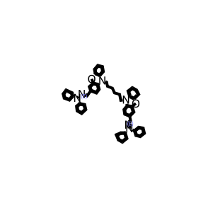 C(=N\N(c1ccccc1)c1ccccc1)/c1ccc2c(c1)Oc1ccccc1N2CCCCCCN1c2ccccc2Oc2cc(/C=N/N(c3ccccc3)c3ccccc3)ccc21